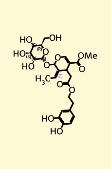 C/C=C1\C(O[C@@H]2O[C@H](CO)[C@@H](O)[C@H](O)[C@H]2O)OC=C(C(=O)OC)C1CC(=O)OCCc1ccc(O)c(O)c1